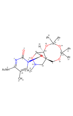 CC(=O)Nc1nc(=O)n([C@@H]2O[C@]34CO[Si](C(C)C)(C(C)C)O[Si](C(C)C)(C(C)C)O[C@@H]3C2ON(C)C4)cc1C